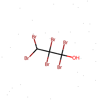 OC(Br)(Br)C(Br)(Br)C(Br)Br